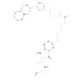 CC(CCCNc1ccc2c(c1)C(=O)N(C1CCC(=O)NC1=O)C2=O)C(=O)N1CCC(n2cc(-c3cnc4ccccc4n3)cn2)CC1